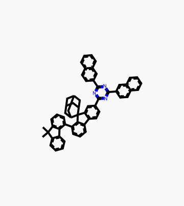 CC1(C)c2ccccc2-c2c(-c3cccc4c3C3(c5cc(-c6nc(-c7ccc8ccccc8c7)nc(-c7ccc8ccccc8c7)n6)ccc5-4)C4CC5CC(C4)CC3C5)cccc21